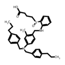 CCCc1ccc(CN(Cc2ccc(CCC)cc2)c2ccc(CNc3ccccc3[S+]([O-])CCCC(=O)O)c(C)c2)cc1